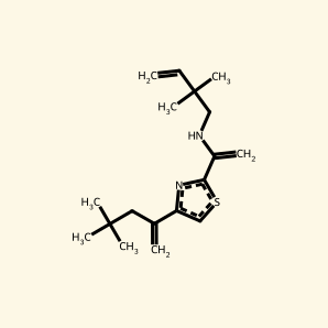 C=CC(C)(C)CNC(=C)c1nc(C(=C)CC(C)(C)C)cs1